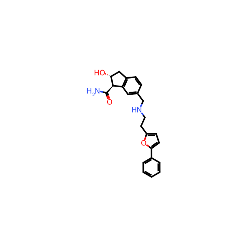 NC(=O)[C@@H]1c2cc(CNCCc3ccc(-c4ccccc4)o3)ccc2C[C@H]1O